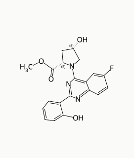 COC(=O)[C@@H]1C[C@H](O)CN1c1nc(-c2ccccc2O)nc2ccc(F)cc12